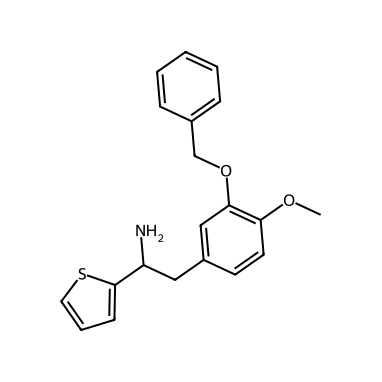 COc1ccc(CC(N)c2cccs2)cc1OCc1ccccc1